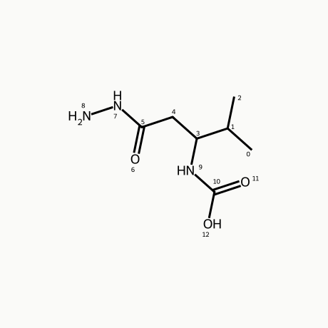 CC(C)C(CC(=O)NN)NC(=O)O